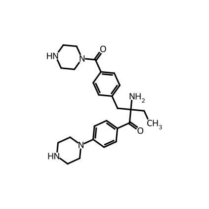 CCC(N)(Cc1ccc(C(=O)N2CCNCC2)cc1)C(=O)c1ccc(N2CCNCC2)cc1